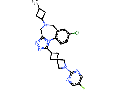 Fc1cnc(N2CC3(CC(c4nnc5n4-c4ccc(Cl)cc4CN(C4CC(C(F)(F)F)C4)C5)C3)C2)nc1